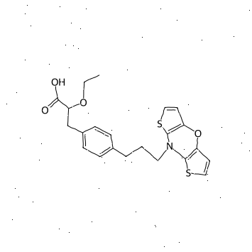 CCOC(Cc1ccc(CCCN2c3sccc3Oc3ccsc32)cc1)C(=O)O